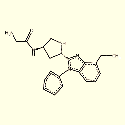 CCc1cccc2c1nc([C@@H]1C[C@@H](NC(=O)CN)CN1)n2-c1ccccc1